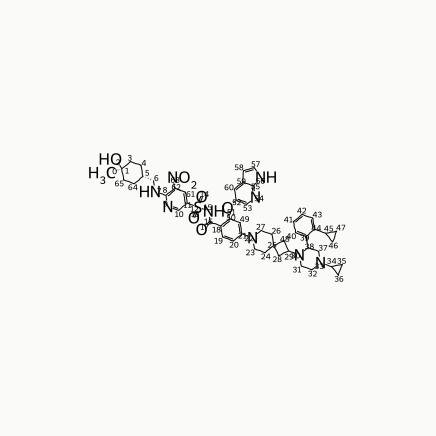 C[C@]1(O)CC[C@H](CNc2ncc(S(=O)(=O)NC(=O)c3ccc(N4CCC5(CC4)CC(N4CCN(C6CC6)C[C@@H]4c4ccccc4C4CC4)C5)cc3Oc3cnc4[nH]ccc4c3)cc2[N+](=O)[O-])CC1